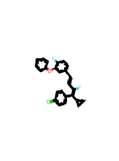 FC(C=Cc1ccc(F)c(Oc2ccccc2)c1)=C(c1ccc(Cl)cc1)C1CC1